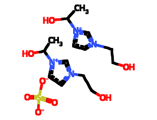 CC(O)[n+]1ccn(CCO)c1.CC(O)[n+]1ccn(CCO)c1.O=S(=O)([O-])[O-]